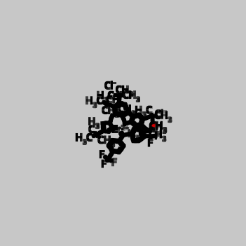 CCCC1C=C(C(C)(C)C)C=[C]1[Zr+2](=[C](c1ccc(C(F)(F)F)cc1)c1ccc(C(F)(F)F)cc1)[CH]1c2cc(C(C)(C)C)c(C(C)(C)C)cc2-c2cc(C(C)(C)C)c(C(C)(C)C)cc21.[Cl-].[Cl-]